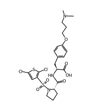 CN(C)CCCOc1ccc(C[C@H](NC(=O)[C@@H]2CCCN2S(=O)(=O)c2cc(Cl)sc2Cl)C(=O)O)cc1